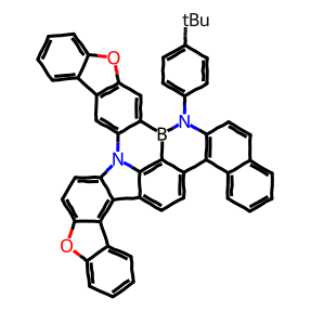 CC(C)(C)c1ccc(N2B3c4cc5oc6ccccc6c5cc4-n4c5ccc6oc7ccccc7c6c5c5ccc(c3c54)-c3c2ccc2ccccc32)cc1